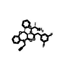 C#CCN1C(=O)[C@@H](N(C(=O)Cc2cc(F)cc(F)c2)C(=O)[C@H](C)N)[C@@H](c2ccccc2)Oc2ccccc21